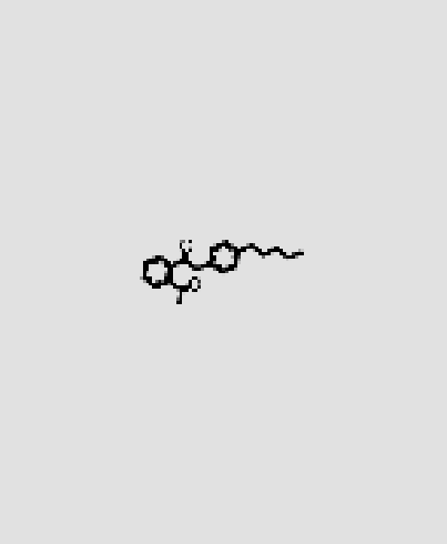 CCCCCc1ccc(CC(=O)c2ccccc2C(C)=O)cc1